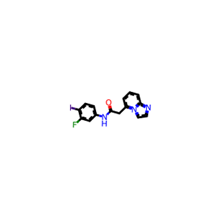 O=C(Cc1cccc2nccn12)Nc1ccc(I)c(F)c1